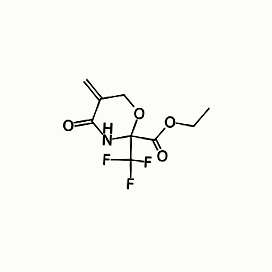 C=C1COC(C(=O)OCC)(C(F)(F)F)NC1=O